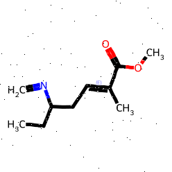 C=NC(CC)C/C=C(\C)C(=O)OC